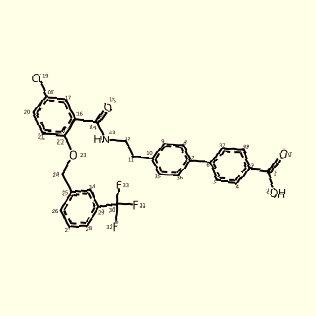 O=C(O)c1ccc(-c2ccc(CCNC(=O)c3cc(Cl)ccc3OCc3cccc(C(F)(F)F)c3)cc2)cc1